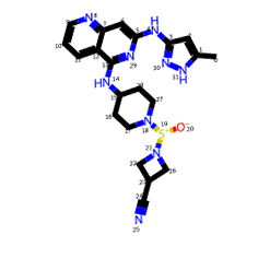 Cc1cc(Nc2cc3ncccc3c(NC3CCN([S+]([O-])N4CC(C#N)C4)CC3)n2)n[nH]1